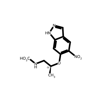 C[C@@H](CNC(=O)O)Oc1cc2[nH]ncc2cc1[N+](=O)[O-]